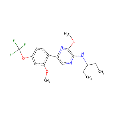 CCC(CC)Nc1ncc(-c2ccc(OC(F)(F)F)cc2OC)nc1OC